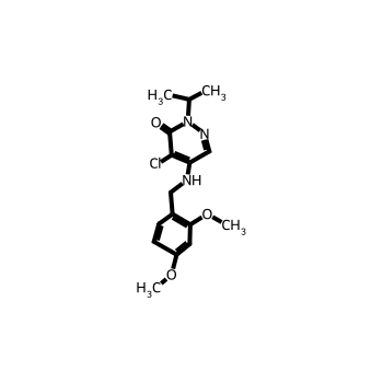 COc1ccc(CNc2cnn(C(C)C)c(=O)c2Cl)c(OC)c1